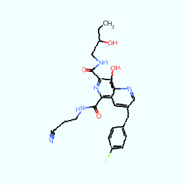 CCC(O)CNC(=O)c1nc(C(=O)NCCC#N)c2cc(Cc3ccc(F)cc3)cnc2c1O